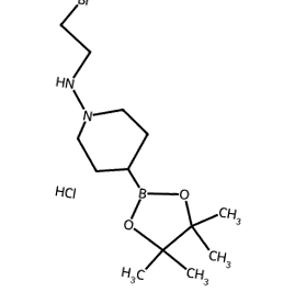 CC1(C)OB(C2CCN(NCCBr)CC2)OC1(C)C.Cl